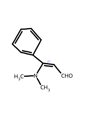 CN(C)/C(=C\C=O)c1ccccc1